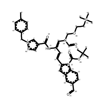 Cc1ccc(Cn2cc(C(=O)NC(/C=C/c3cc4cc(C=O)ccc4n3C(=O)OC(C)(C)C)=C/N(C=O)COCC[Si](C)(C)C)cn2)cc1